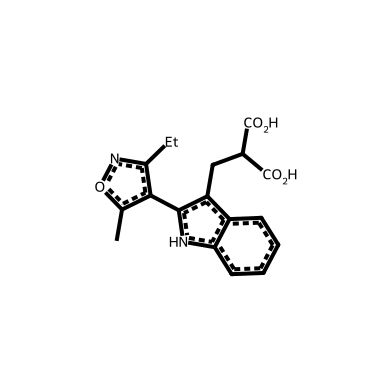 CCc1noc(C)c1-c1[nH]c2ccccc2c1CC(C(=O)O)C(=O)O